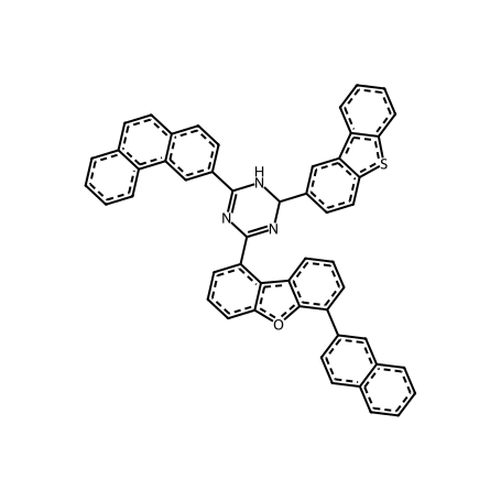 c1ccc2cc(-c3cccc4c3oc3cccc(C5=NC(c6ccc7sc8ccccc8c7c6)NC(c6ccc7ccc8ccccc8c7c6)=N5)c34)ccc2c1